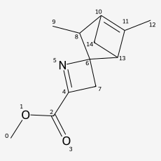 COC(=O)C1=NC2(C1)C(C)C1=C(C)C2C1